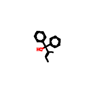 CC=C(C)C(O)(c1ccccc1)c1ccccc1